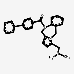 CN(C)Cc1ccc2n1Cc1ccccc1N(C(=O)c1ccc(-c3ccccc3)cc1)C2